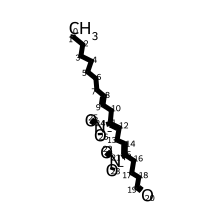 CCCCCCCC/C=C/C/C(=C/C/C=C(/CCC[C]=O)[N+](=O)[O-])[N+](=O)[O-]